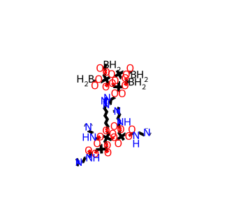 BC(=O)OCC(C)(COC(B)=O)C(=O)OCC(C)(COC(=O)C(C)(COC(B)=O)COC(B)=O)C(=O)OCc1cn(CCCCCCOC(=O)C(C)(COC(=O)C(C)(COC(=O)NCCN(C)C)COC(=O)NCCN(C)C)COC(=O)C(C)(COC(=O)NCCN(C)C)COC(=O)NCCN(C)C)nn1